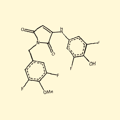 COc1c(F)cc(CN2C(=O)C=C(Nc3cc(F)c(O)c(F)c3)C2=O)cc1F